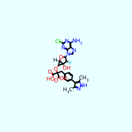 Cc1n[nH]c(C)c1-c1ccc(CC(OC2[C@H]3O[C@@H](n4cnc5c(N)nc(Cl)nc54)[C@@H](F)[C@@]23O)(C(=O)O)C(=O)O)cc1